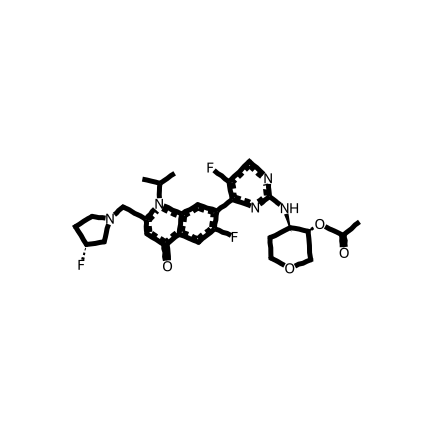 CC(=O)O[C@@H]1COCC[C@H]1Nc1ncc(F)c(-c2cc3c(cc2F)c(=O)cc(CN2CC[C@@H](F)C2)n3C(C)C)n1